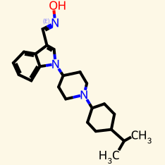 CC(C)C1CCC(N2CCC(n3cc(/C=N/O)c4ccccc43)CC2)CC1